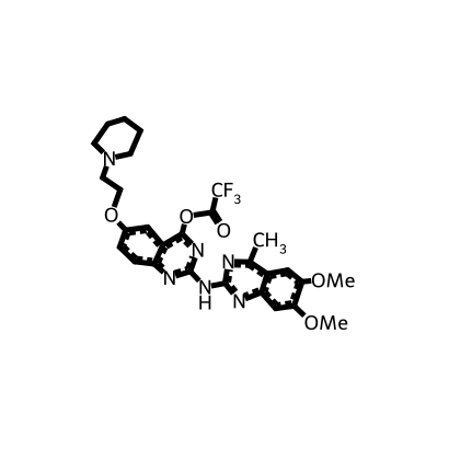 COc1cc2nc(Nc3nc(OC(=O)C(F)(F)F)c4cc(OCCN5CCCCC5)ccc4n3)nc(C)c2cc1OC